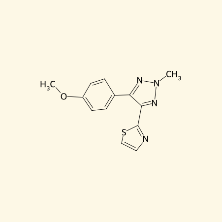 COc1ccc(-c2nn(C)nc2-c2nccs2)cc1